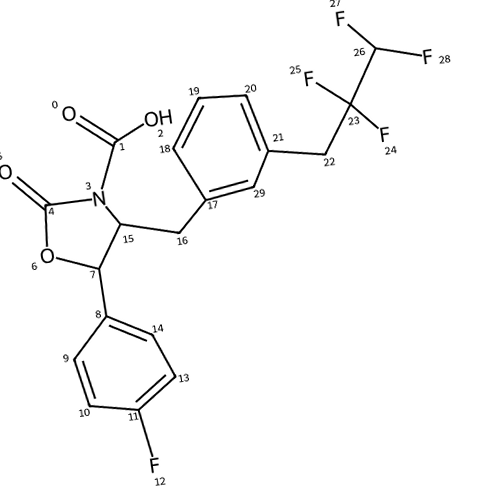 O=C(O)N1C(=O)OC(c2ccc(F)cc2)C1Cc1cccc(CC(F)(F)C(F)F)c1